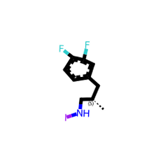 C[C@H](CNI)Cc1ccc(F)c(F)c1